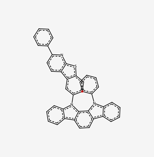 c1ccc(-c2ccc3c(n2)sc2ccc(-n4c5ccccc5c5ccc6c7ccccc7n(-c7ccccc7)c6c54)cc23)cc1